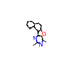 Cc1nc(C)c2oc3ccc4ccccc4c3c2n1